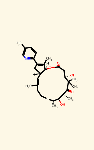 CC1=C(c2ccc(C)cn2)C[C@H]2/C=C(/C)CCC[C@H](C)[C@H](O)[C@@H](C)C(=O)C(C)(C)[C@@H](O)CC(=O)O[C@H]12